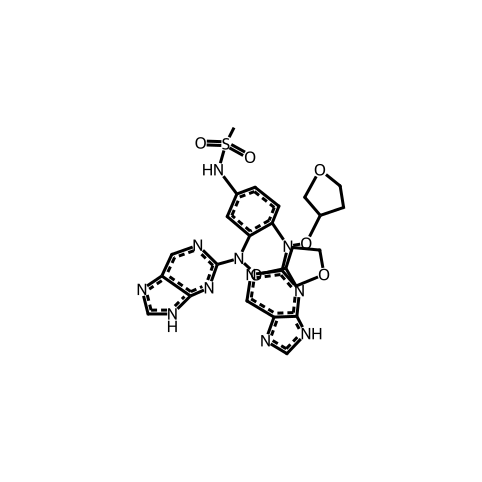 CS(=O)(=O)Nc1ccc(N(OC2CCOC2)c2ncc3nc[nH]c3n2)c(N(OC2CCOC2)c2ncc3nc[nH]c3n2)c1